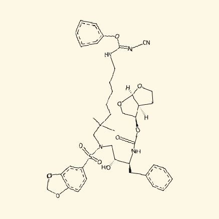 CC(C)(CCCCCN/C(=N/C#N)Oc1ccccc1)CN(C[C@@H](O)[C@H](Cc1ccccc1)NC(=O)O[C@H]1CO[C@H]2OCC[C@H]21)S(=O)(=O)c1ccc2c(c1)OCO2